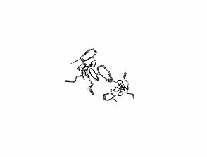 C=CCN(CC=C)P(=O)(Oc1cccc(OP(=O)(Oc2c(C)cccc2C)N(CC=C)CC=C)c1)Oc1c(C)cccc1C